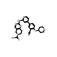 N#Cc1cc(-c2ccnc(Nc3ncc4c(n3)CCN(C(=O)O)C4)c2)ccc1OC1CCOCC1